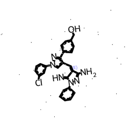 N=C1/C(=C\c2cn(-c3cccc(Cl)c3)nc2-c2ccc(CO)cc2)C(N)=NN1c1ccccc1